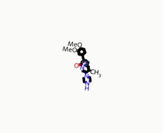 COc1ccc(C2=C\C(=O)N3C=C(N4CCNCC4)C(C)=C\C3=C/C=C/2)cc1OC